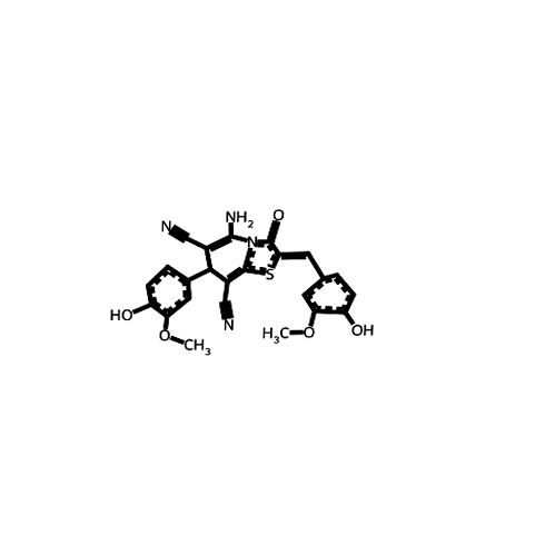 COc1cc(/C=c2\sc3n(c2=O)C(N)=C(C#N)C(c2ccc(O)c(OC)c2)C=3C#N)ccc1O